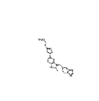 COCCn1cc(-c2ccc3c(n2)N(Cc2ccc4ncnn4c2)N(C)N3)cn1